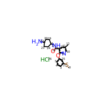 CSc1cccc(Oc2ncc(C)cc2C(=O)NC2CCC(N)CC2)c1.Cl